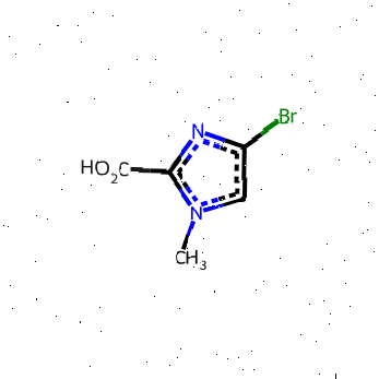 Cn1cc(Br)nc1C(=O)O